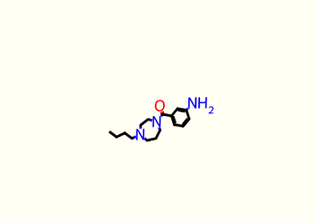 CCCCN1CCCN(C(=O)c2cccc(N)c2)CC1